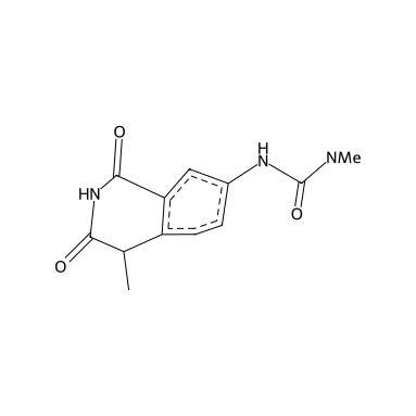 CNC(=O)Nc1ccc2c(c1)C(=O)NC(=O)C2C